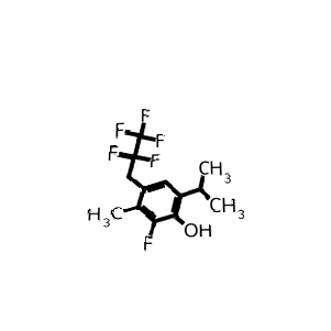 Cc1c(CC(F)(F)C(F)(F)F)cc(C(C)C)c(O)c1F